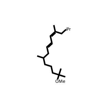 COC(C)(C)CCCC(C)CC=CC=C(C)CC(C)C